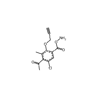 C#CCOc1c(C(=O)ON)cc(Cl)c(C(C)=O)c1C